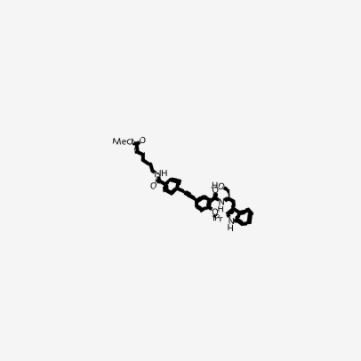 COC(=O)CCCCCNC(=O)c1ccc(C#Cc2ccc(OC(C)C)c(C(=O)N[C@@H](CO)Cc3c[nH]c4ccccc34)c2)cc1